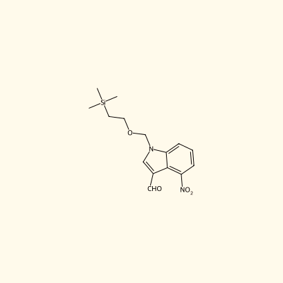 C[Si](C)(C)CCOCn1cc(C=O)c2c([N+](=O)[O-])cccc21